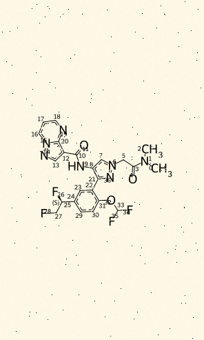 CN(C)C(=O)Cn1cc(NC(=O)c2cnn3cccnc23)c(-c2cc([C@H](F)CF)ccc2OC(F)F)n1